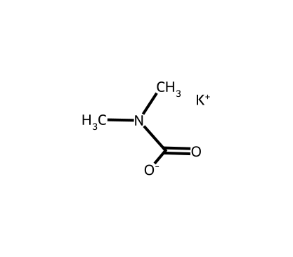 CN(C)C(=O)[O-].[K+]